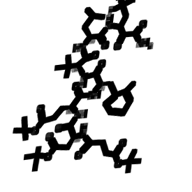 Cc1ccccc1C[C@H](NC(=O)[C@H](CCC(=O)OC(C)(C)C)NC(=O)[C@H](CC(=O)OC(C)(C)C)NC(=O)CCC(=O)OC(C)(C)C)C(=O)N[C@H](C(=O)N[C@@H](CC(C)C)C(=O)NC(CC(F)(F)F)C(=O)C(N)=O)C(C)(C)C